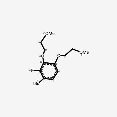 COCCOc1ccc(C(C)(C)C)c(F)c1OCCOC